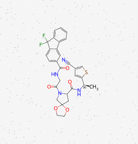 C[C@@H](NC(=O)C1CC2(CN1C(=O)CNC(=O)c1ccc3c(c1)-c1ccccc1C3(F)F)OCCO2)c1cc(C#N)cs1